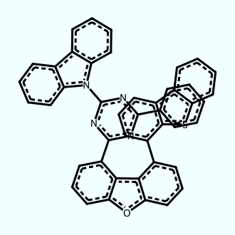 c1ccc(-c2nc(-c3cccc4oc5cccc(-c6cccc7c6sc6ccccc67)c5c34)nc(-n3c4ccccc4c4ccccc43)n2)cc1